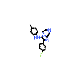 Cc1ccc(Nc2c(-c3ccc(F)cc3)nc3cnccn23)cc1